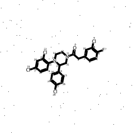 O=C(Cc1ccc(F)c(Cl)c1)N1CCN(c2ccc(Cl)cc2Cl)C(c2ccc(Cl)cc2)C1